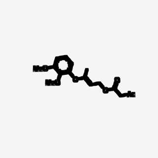 COc1cccc(O/C(C)=C/COC(=O)CC(C)=O)c1OC